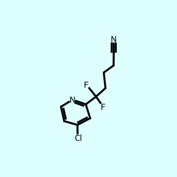 N#CCCCC(F)(F)c1cc(Cl)ccn1